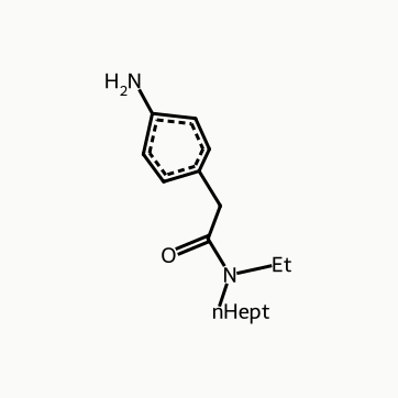 CCCCCCCN(CC)C(=O)Cc1ccc(N)cc1